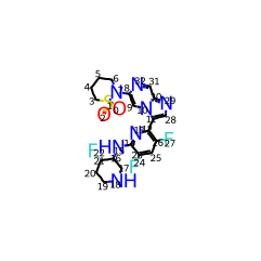 O=S1(=O)CCCCN1c1cn2c(-c3nc(N[C@H]4CNCC[C@@H]4F)c(F)cc3F)cnc2cn1